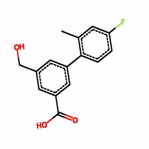 Cc1cc(F)ccc1-c1cc(CO)cc(C(=O)O)c1